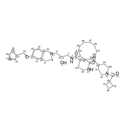 O=C(NC[C@H](O)CN1CCc2cc(OCc3cnco3)ccc2C1)C1CCNC(NC2CCN(C(=O)C3CCC3)CC2)C12CCCCCCCCC2